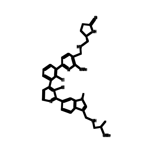 COc1nc(-c2cccc(-c3ccnc(-c4ccc5c(CNCC(C)OC)cn(C)c5c4)c3Cl)c2Cl)ccc1CNC[C@H]1CCC(=O)N1